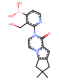 CC1(C)Cc2cc3c(=O)n(-c4nccc(B(O)O)c4CO)ccn3c2C1